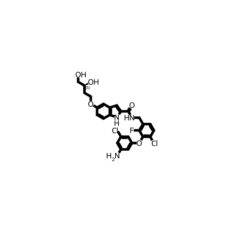 Nc1cc(Cl)cc(Oc2c(Cl)ccc(CNC(=O)c3cc4cc(OCC[C@H](O)CO)ccc4[nH]3)c2F)c1